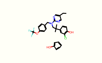 CCc1cnc(N(Cc2ccc(OC(F)(F)F)cc2)CC(C)(C)c2ccc(O)c(Cl)c2)nc1.Oc1ccccc1